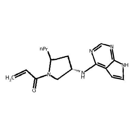 C=CC(=O)N1C[C@@H](Nc2ncnc3[nH]ccc23)CC1CCC